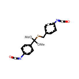 COC(OC)(SCc1ccc(N=C=O)cc1)c1ccc(N=C=O)cc1